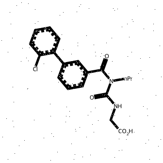 CCCN(C(=O)NCC(=O)O)C(=O)c1cccc(-c2ccccc2Cl)c1